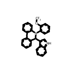 FC(F)(F)Oc1ccc[c]c1N1c2ccccc2-c2ccccc2C1c1c[nH]c2ccccc12